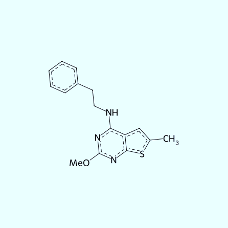 COc1nc(NCCc2ccccc2)c2cc(C)sc2n1